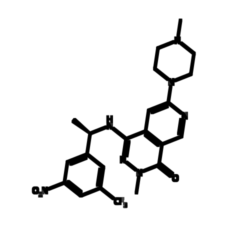 C[C@@H](Nc1nn(C)c(=O)c2cnc(N3CCN(C)CC3)cc12)c1cc([N+](=O)[O-])cc(C(F)(F)F)c1